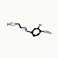 COc1ccc(/N=N/CCS(=O)(=O)O)cc1Br